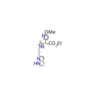 CCOC(=O)CC(c1ccc(OC)nc1)c1nc(CCCC2=NC3NCCCC3C=C2)cs1